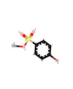 O=NOS(=O)(=O)c1ccc(Br)cc1